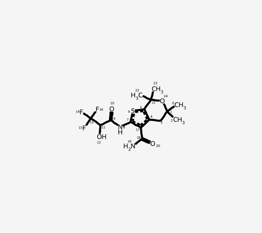 CC1(C)Cc2c(sc(NC(=O)C(O)C(F)(F)F)c2C(N)=O)C(C)(C)O1